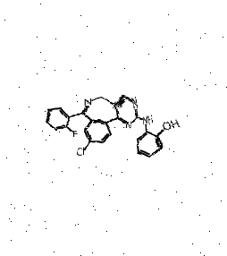 Oc1ccccc1Nc1ncc2c(n1)-c1ccc(Cl)cc1C(c1ccccc1F)=NC2